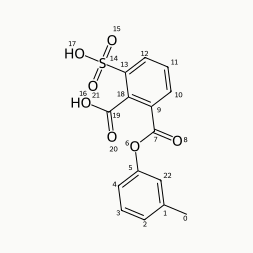 Cc1cccc(OC(=O)c2cccc(S(=O)(=O)O)c2C(=O)O)c1